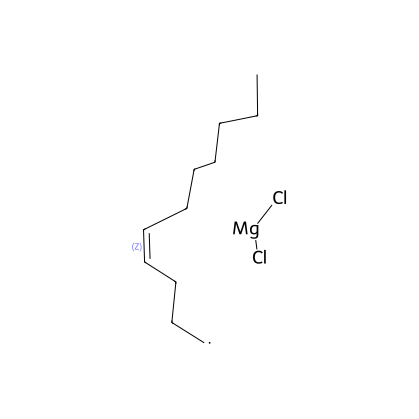 [CH2]CC/C=C\CCCCCC.[Cl][Mg][Cl]